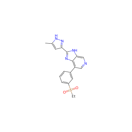 CCS(=O)(=O)c1cccc(-c2cncc3[nH]c(-c4cc(C)[nH]n4)nc23)c1